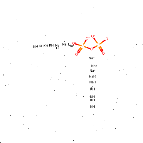 O=P([O-])([O-])OP(=O)([O-])[O-].[KH].[KH].[KH].[KH].[KH].[KH].[KH].[KH].[Na+].[Na+].[Na+].[Na+].[NaH].[NaH].[NaH].[NaH]